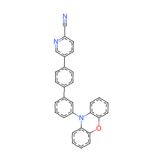 N#Cc1ccc(-c2ccc(-c3cccc(N4c5ccccc5Oc5ccccc54)c3)cc2)cn1